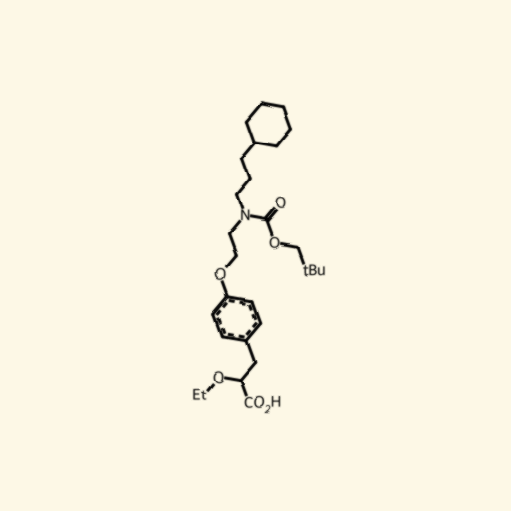 CCOC(Cc1ccc(OCCN(CCCC2CCCCC2)C(=O)OCC(C)(C)C)cc1)C(=O)O